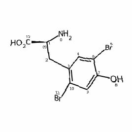 N[C@@H](Cc1cc(Br)c(O)cc1Br)C(=O)O